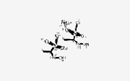 CC(NO)S(=O)(=O)[O-].CC(NO)S(=O)(=O)[O-].[Na+].[Na+]